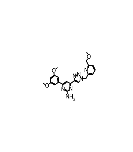 COCc1cccc(Cn2cc(-c3cc(-c4cc(OC)cc(OC)c4)nc(N)n3)nn2)n1